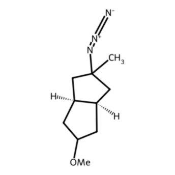 COC1C[C@@H]2CC(C)(N=[N+]=[N-])C[C@@H]2C1